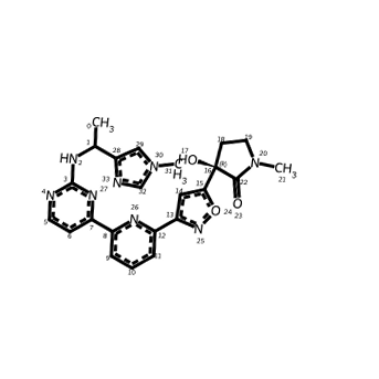 CC(Nc1nccc(-c2cccc(-c3cc([C@]4(O)CCN(C)C4=O)on3)n2)n1)c1cn(C)cn1